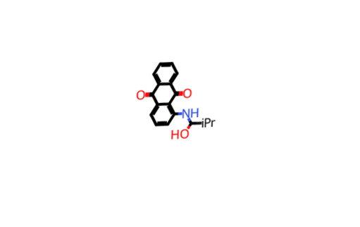 CC(C)C(O)Nc1cccc2c1C(=O)c1ccccc1C2=O